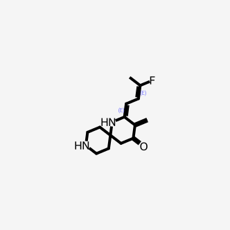 C=C1C(=O)CC2(CCNCC2)N/C1=C/C=C(\C)F